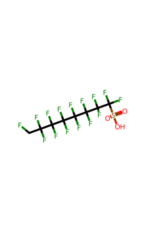 O=S(=O)(O)C(F)(F)C(F)(F)C(F)(F)C(F)(F)C(F)(F)C(F)(F)C(F)(F)CF